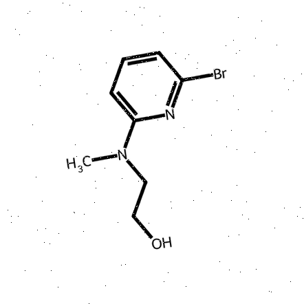 CN(CCO)c1cccc(Br)n1